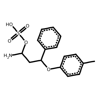 Cc1ccc(OC(CC(N)OS(=O)(=O)O)c2ccccc2)cc1